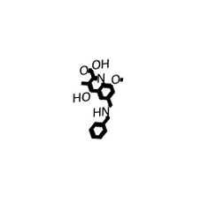 COc1cc(CNCc2ccccc2)cc2c(O)c(C)c(C(=O)O)nc12